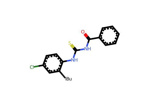 CCC(C)c1cc(Cl)ccc1NC(=S)NC(=O)c1ccccc1